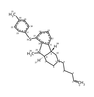 C=CCCCN1CC[C@@H]2[C@@H](C1)c1cccc(Sc3ccc(C)cc3)c1N2C